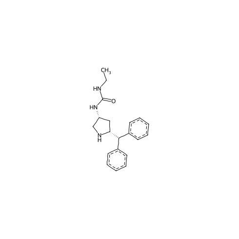 CCNC(=O)N[C@H]1CN[C@@H](C(c2ccccc2)c2ccccc2)C1